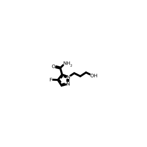 NC(=O)c1c(F)cnn1CCCO